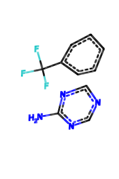 FC(F)(F)c1ccccc1.Nc1ncncn1